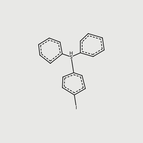 Ic1ccc([SH](c2ccccc2)c2ccccc2)cc1